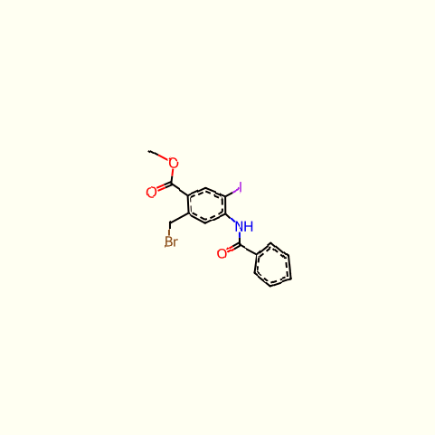 COC(=O)c1cc(I)c(NC(=O)c2ccccc2)cc1CBr